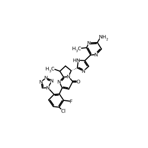 Cc1nc(N)cnc1-c1cnc([C@H]2CC(C)c3nc(-c4c(-n5cnnn5)ccc(Cl)c4F)cc(=O)n32)[nH]1